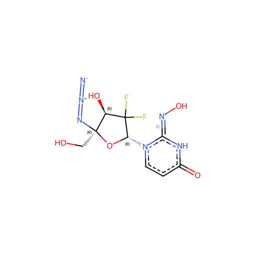 [N-]=[N+]=N[C@]1(CO)O[C@@H](n2ccc(=O)[nH]/c2=N\O)C(F)(F)[C@@H]1O